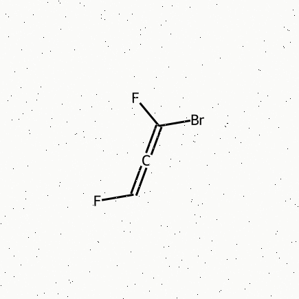 FC=C=C(F)Br